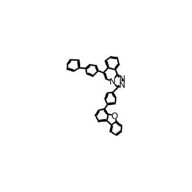 c1ccc(-c2ccc(-c3cn4c(-c5ccc(-c6cccc7c6oc6ccccc67)cc5)nnc4c4ccccc34)cc2)cc1